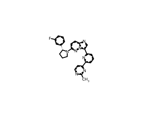 Cc1nccc(-c2cccc(-c3cnc4ccc(N5CCC[C@@H]5c5cccc(F)c5)nn34)n2)n1